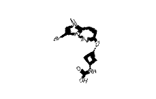 O=C(O)N[C@H]1C[C@H](Oc2ccc3ncc(Br)n3n2)C1